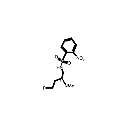 CN[C@@H](CCF)CNS(=O)(=O)c1ccccc1[N+](=O)[O-]